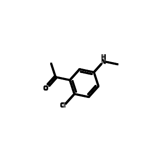 CNc1ccc(Cl)c(C(C)=O)c1